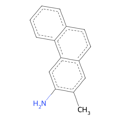 Cc1cc2ccc3ccccc3c2cc1N